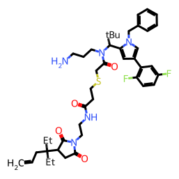 C=CCC(CC)(CC)C1CC(=O)N(CCNC(=O)CCSCC(=O)N(CCCN)C(c2cc(-c3cc(F)ccc3F)cn2Cc2ccccc2)C(C)(C)C)C1=O